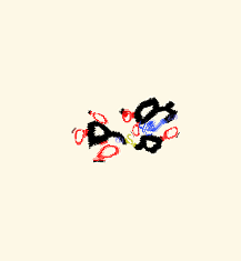 C=C(/C=C\Nc1cc(CS/C=C/c2c(OC)cc(OC)cc2OC)ccc1OC)c1ccc(OC)c(OC)c1